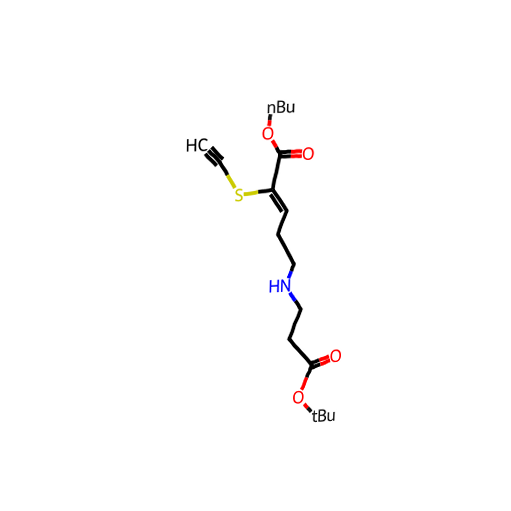 C#CS/C(=C\CCNCCC(=O)OC(C)(C)C)C(=O)OCCCC